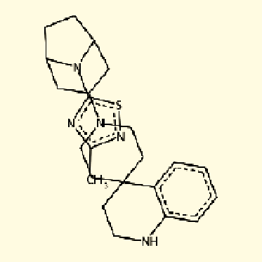 Cc1nsc(N2C3CCC2CC(N2CCC4(CCNc5ccccc54)CC2)C3)n1